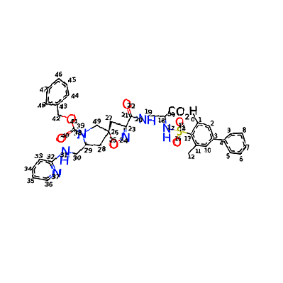 Cc1cc(-c2ccccc2)cc(C)c1S(=O)(=O)NC(CNC(=O)C1=NO[C@]2(C1)CC(CNc1ccccn1)N(C(=O)OCc1ccccc1)C2)C(=O)O